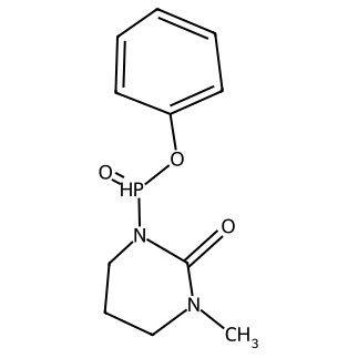 CN1CCCN([PH](=O)Oc2ccccc2)C1=O